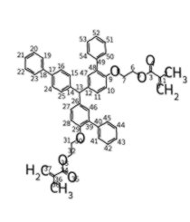 C=C(C)C(=O)OCCOc1ccc(C(c2ccc(-c3ccccc3)cc2)c2ccc(OCCOC(=O)C(=C)C)c(-c3ccccc3)c2)cc1-c1ccccc1